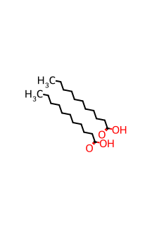 CCCCCCCCCCC(=O)O.CCCCCCCCCCC(=O)O